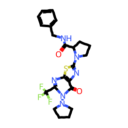 O=C(NCc1ccccc1)C1CCCN1c1nc2c(=O)n(N3CCCC3)c(C(F)(F)F)nc2s1